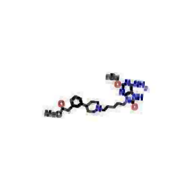 CCCCOc1nc(N)c2[nH]c(=O)n(CCCCCN3CCC(c4cccc(CC(=O)OC)c4)CC3)c2n1